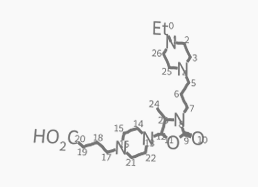 CCN1CCN(CCCN2C(=O)OC(N3CCN(CCCC(=O)O)CC3)C2C)CC1